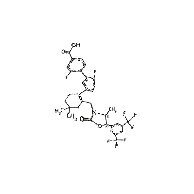 C[C@H]1[C@@H](c2cc(C(F)(F)F)cc(C(F)(F)F)c2)OC(=O)N1CC1=C(c2ccc(F)c(-c3ccc(C(=O)O)cc3F)c2)CCC(C)(C)C1